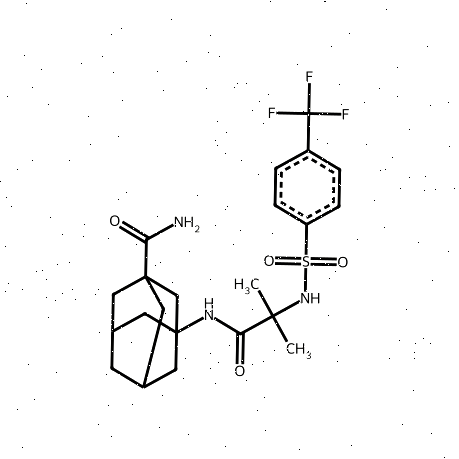 CC(C)(NS(=O)(=O)c1ccc(C(F)(F)F)cc1)C(=O)NC12CC3CC(C1)CC(C(N)=O)(C3)C2